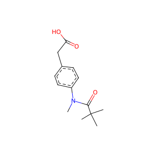 CN(C(=O)C(C)(C)C)c1ccc(CC(=O)O)cc1